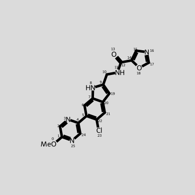 COc1cnc(-c2cc3[nH]c(CNC(=O)c4cnco4)cc3cc2Cl)cn1